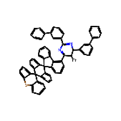 CCC1C(c2cccc3c2-c2ccccc2C32c3ccccc3C3(c4ccccc4Sc4ccccc43)c3ccccc32)=NC(c2cccc(-c3ccccc3)c2)=NC1c1cccc(-c2ccccc2)c1